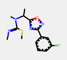 CN=C(SC)N(C)C(C)c1nc(-c2cccc(Cl)c2)no1